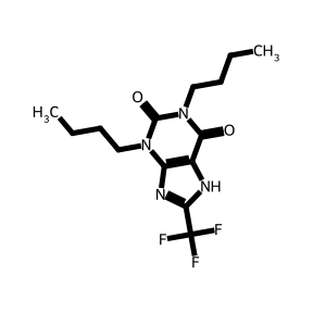 CCCCn1c(=O)c2[nH]c(C(F)(F)F)nc2n(CCCC)c1=O